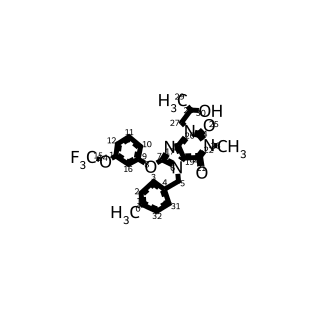 Cc1ccc(Cn2c(Oc3cccc(OC(F)(F)F)c3)nc3c2c(=O)n(C)c(=O)n3CC(C)O)cc1